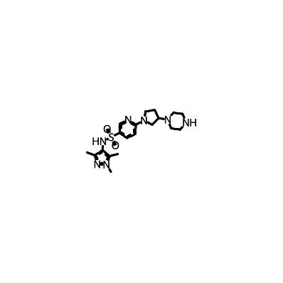 Cc1nn(C)c(C)c1NS(=O)(=O)c1ccc(N2CCC(N3CCNCC3)C2)nc1